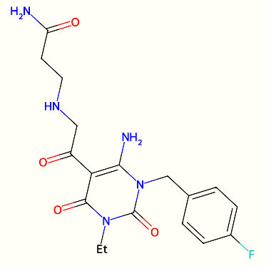 CCn1c(=O)c(C(=O)CNCCC(N)=O)c(N)n(Cc2ccc(F)cc2)c1=O